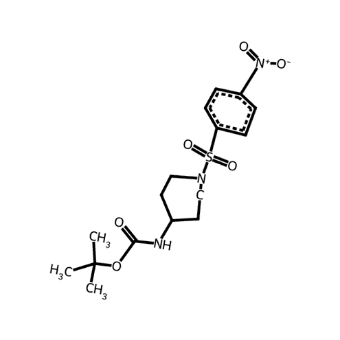 CC(C)(C)OC(=O)NC1CCN(S(=O)(=O)c2ccc([N+](=O)[O-])cc2)CC1